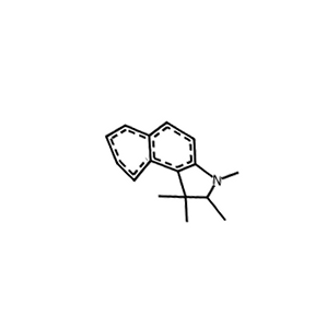 CC1N(C)c2ccc3ccccc3c2C1(C)C